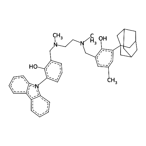 Cc1cc(CN(C)CCN(C)Cc2cccc(-n3c4ccccc4c4ccccc43)c2O)c(O)c(C23CC4CC(CC(C4)C2)C3)c1